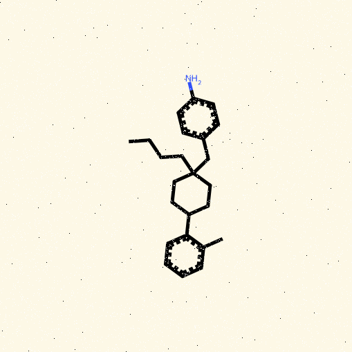 CCCCC1(Cc2ccc(N)cc2)CCC(c2ccccc2C)CC1